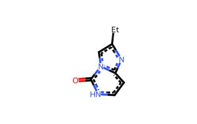 CCc1cn2c(=O)[nH]ccc2n1